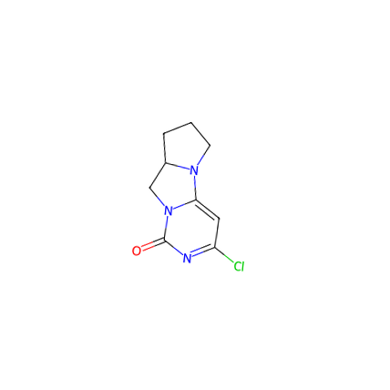 O=c1nc(Cl)cc2n1CC1CCCN21